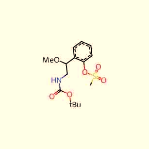 COC(CNC(=O)OC(C)(C)C)c1ccccc1OS(C)(=O)=O